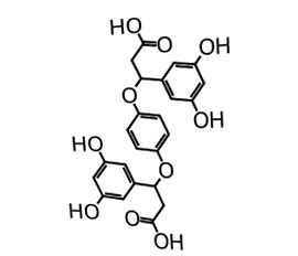 O=C(O)CC(Oc1ccc(OC(CC(=O)O)c2cc(O)cc(O)c2)cc1)c1cc(O)cc(O)c1